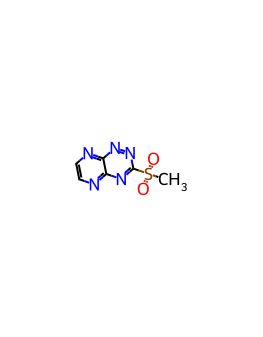 CS(=O)(=O)c1nnc2nccnc2n1